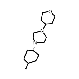 C[C@H]1CC[C@H](N2CCN(C3CCOCC3)CC2)CC1